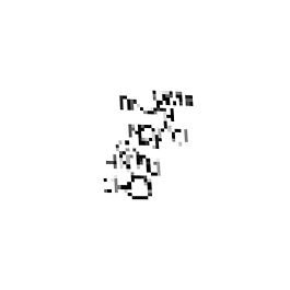 COc1nc(Cl)n2nc(S(=O)(=O)Nc3c(Cl)cccc3Cl)nc2c1Br